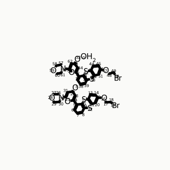 O.O=c1cc(-c2cccc3c2Sc2ccc(OCCBr)cc2S3)oc(N2CCOCC2)c1.O=c1cc(-c2cccc3c2Sc2ccc(OCCBr)cc2S3)oc(N2CCOCC2)c1